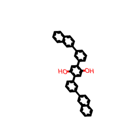 Oc1cc(-c2cccc(-c3ccc4ccccc4c3)c2)c(O)cc1-c1cccc(-c2ccc3ccccc3c2)c1